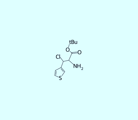 CC(C)(C)OC(=O)C(N)C(Cl)c1ccsc1